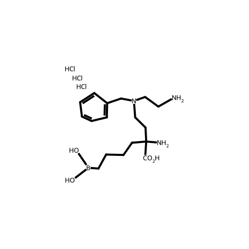 Cl.Cl.Cl.NCCN(CCC(N)(CCCCB(O)O)C(=O)O)Cc1ccccc1